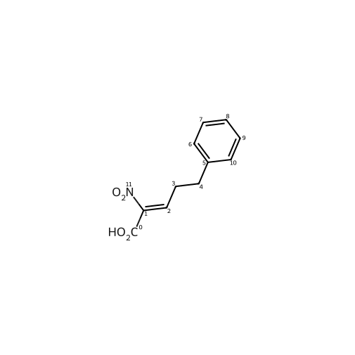 O=C(O)C(=CCCc1ccccc1)[N+](=O)[O-]